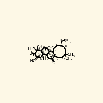 CC1(C)CCC2C(=O)C[C@@H]3[C@@]4(C)C=C(C#N)C(=O)C(C)(C)C4CC[C@@]3(C)[C@]2(C)CC[C@@H](CN)CC1